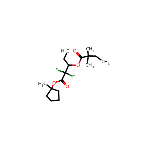 CCC(OC(=O)C(C)(C)CC)C(F)(F)C(=O)OC1(C)CCCC1